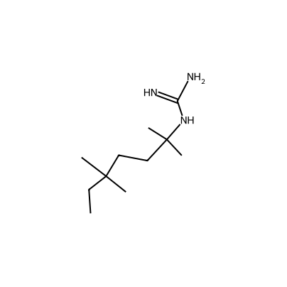 CCC(C)(C)CCC(C)(C)NC(=N)N